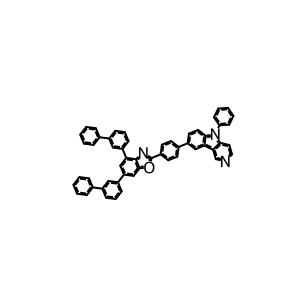 c1ccc(-c2cccc(-c3cc(-c4cccc(-c5ccccc5)c4)c4nc(-c5ccc(-c6ccc7c(c6)c6cnccc6n7-c6ccccc6)cc5)oc4c3)c2)cc1